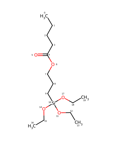 CCCCC(=O)OCCC[Si](OCC)(OCC)OCC